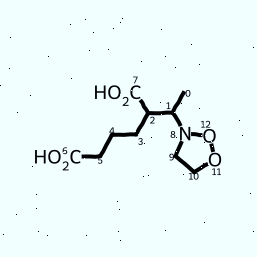 CC(C(CCCC(=O)O)C(=O)O)N1CCOO1